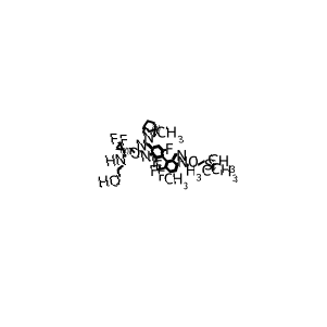 Cc1cc2c(cnn2COCC[Si](C)(C)C)c(-c2c(F)cc3c(N4CC5CC[C@](C)(C5)C4)nc(OC[C@]4(CNCCCO)CC4(F)F)nc3c2F)c1C(F)(F)F